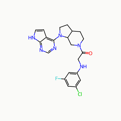 O=C(CNc1cc(F)cc(Cl)c1)N1CCC2CCN(c3ncnc4[nH]ccc34)C2C1